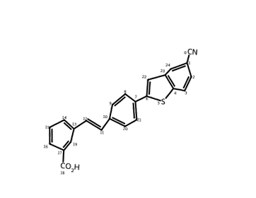 N#Cc1ccc2sc(-c3ccc(C=Cc4cccc(C(=O)O)c4)cc3)cc2c1